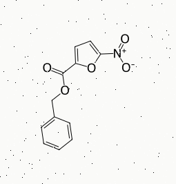 O=C(OCc1ccccc1)c1ccc([N+](=O)[O-])o1